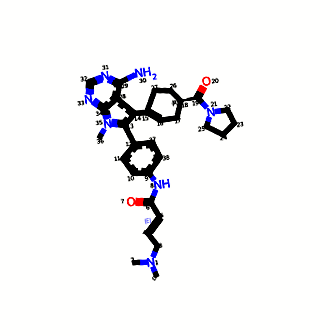 CN(C)C/C=C/C(=O)Nc1ccc(-c2c(C3=CC[C@H](C(=O)N4CCCC4)CC3)c3c(N)ncnc3n2C)cc1